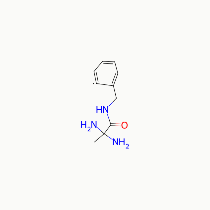 CC(N)(N)C(=O)NCc1[c]cccc1